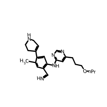 CCCOCCCc1cc(Nc2cc(C3=CCNCC3)c(C)cc2C=N)ncn1